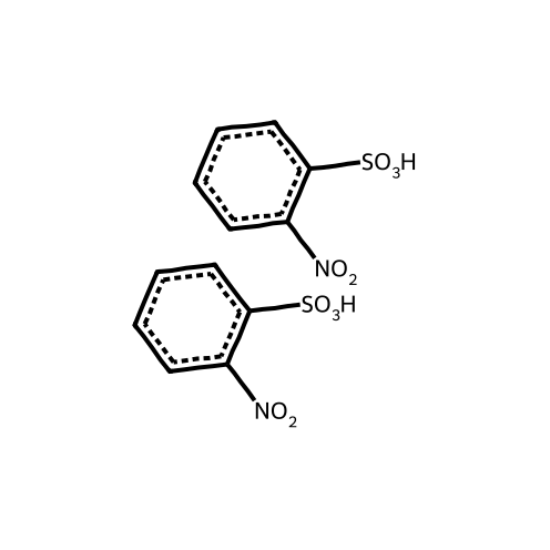 O=[N+]([O-])c1ccccc1S(=O)(=O)O.O=[N+]([O-])c1ccccc1S(=O)(=O)O